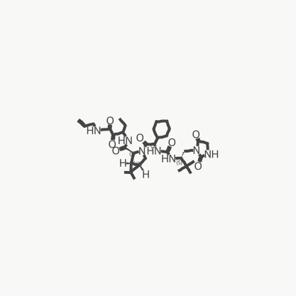 C=CCNC(=O)C(=O)C(CC)NC(=O)[C@@H]1[C@@H]2[C@H](CN1C(=O)[C@@H](NC(=O)N[C@H](CN1C(=O)CNC1=O)C(C)(C)C)C1CCCCC1)C2(C)C